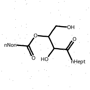 CCCCCCCCCC(=O)OC(CO)C(O)C(=O)CCCCCCC